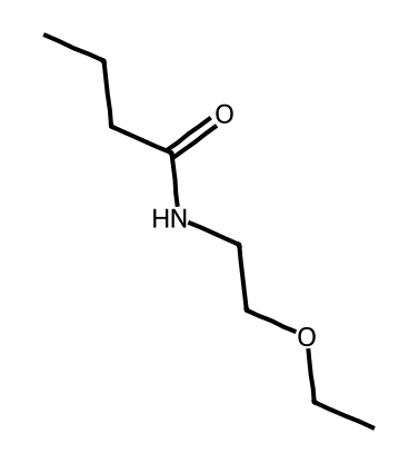 CCCC(=O)NCCOCC